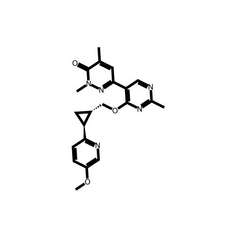 COc1ccc([C@H]2C[C@@H]2COc2nc(C)ncc2-c2cc(C)c(=O)n(C)n2)nc1